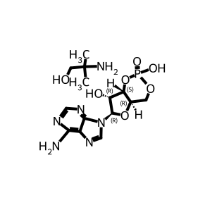 CC(C)(N)CO.Nc1ncnc2c1ncn2[C@@H]1O[C@@H]2COP(=O)(O)O[C@H]2[C@H]1O